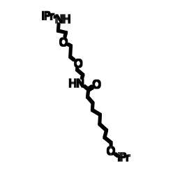 CC(C)NCCOCCOCCNC(=O)CCCCCCCCOC(C)C